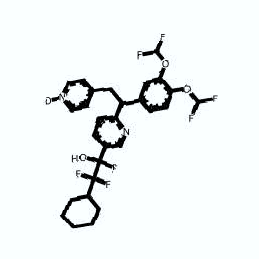 [O-][n+]1ccc(CC(c2ccc(OC(F)F)c(OC(F)F)c2)c2ccc(C(O)(F)C(F)(F)C3CCCCC3)cn2)cc1